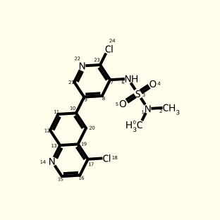 CN(C)S(=O)(=O)Nc1cc(-c2ccc3nccc(Cl)c3c2)cnc1Cl